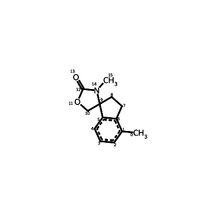 Cc1cccc2c1CCC21COC(=O)N1C